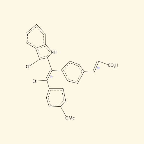 CC/C(=C(/c1ccc(/C=C/C(=O)O)cc1)c1[nH]c2ccccc2c1Cl)c1ccc(OC)cc1